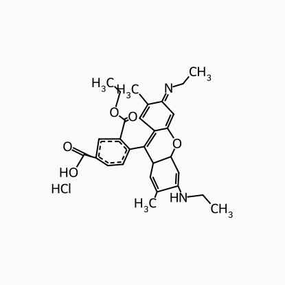 CCN=C1C=C2OC3C=C(NCC)C(C)=CC3C(c3ccc(C(=O)O)cc3C(=O)OCC)=C2C=C1C.Cl